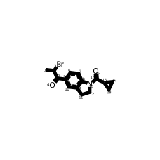 CC(Br)C(=O)c1ccc2c(c1)CCN2C(=O)C1CC1